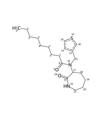 CCCCCCCCC(=O)N(Cc1ccsc1)C1CCCCNC1=O